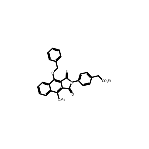 CCOC(=O)Cc1ccc(N2C(=O)c3c(c(OCc4ccccc4)c4ccccc4c3OC)C2=O)cc1